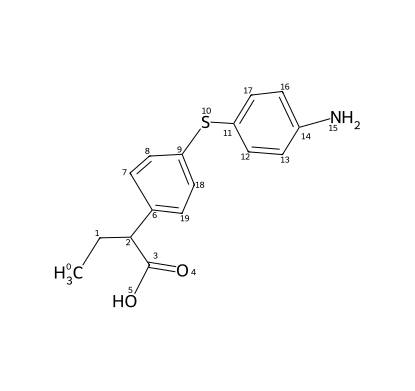 CCC(C(=O)O)c1ccc(Sc2ccc(N)cc2)cc1